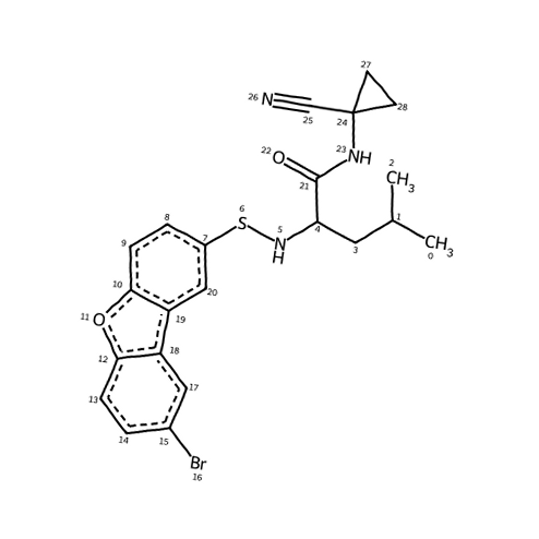 CC(C)CC(NSc1ccc2oc3ccc(Br)cc3c2c1)C(=O)NC1(C#N)CC1